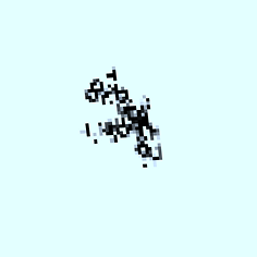 C=CCN(C(=O)NCc1ccc(Cl)c(Cl)c1)N1CC(=O)N2[C@@H](Cc3ccc(NC(=O)c4cccc5ccccc45)cc3)C(=O)N(Cc3cccc4sc(N)nc34)C[C@@H]21